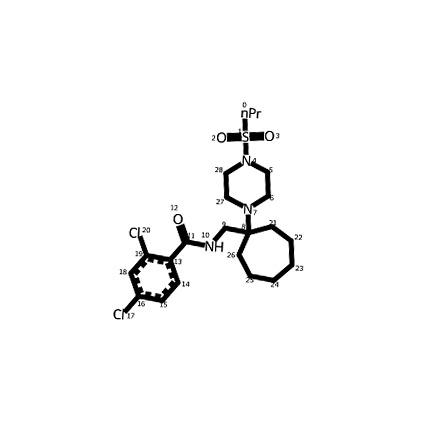 CCCS(=O)(=O)N1CCN(C2(CNC(=O)c3ccc(Cl)cc3Cl)CCCCCC2)CC1